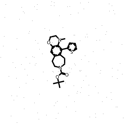 CN1CCOc2cc3c(c(-c4cccs4)c21)CCN(C(=O)OC(C)(C)C)CC3